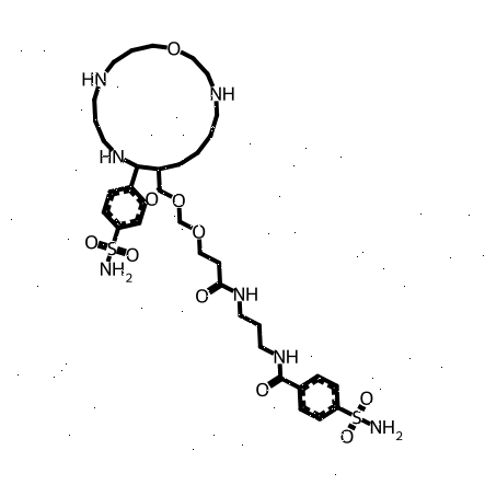 NS(=O)(=O)c1ccc(C(=O)NCCCNC(=O)CCOCOC(=O)C2CCCCNCCOCCCNCCCNC2c2ccc(S(N)(=O)=O)cc2)cc1